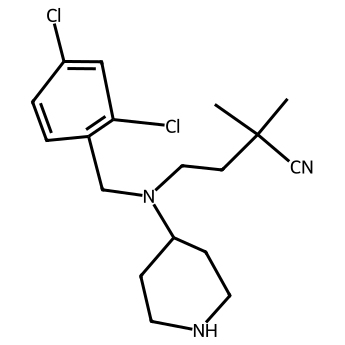 CC(C)(C#N)CCN(Cc1ccc(Cl)cc1Cl)C1CCNCC1